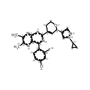 Cc1nc2nc(C3=C[C@H](c4cnn(C5CC5)c4)OCC3)nc(-c3ccc(Cl)cc3F)c2nc1C